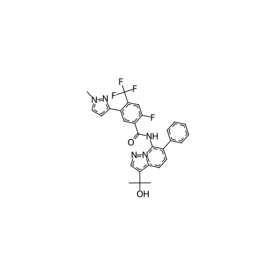 Cn1ccc(-c2cc(C(=O)Nc3c(-c4ccccc4)ccc4c(C(C)(C)O)cnn34)c(F)cc2C(F)(F)F)n1